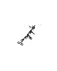 COC(=O)c1ccc(NC(=O)c2ccc(NC(=O)c3ccc(NC(=S)NCC(=O)Nc4ccc(-c5c6ccc(=O)cc-6oc6cc(O)ccc56)c(C(=O)O)c4)c(OCc4ccccc4)n3)c(OCCCN)n2)c(OCCCN)n1